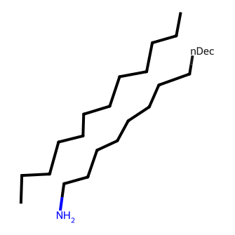 CCCCCCCCCCCC.CCCCCCCCCCCCCCCCCCN